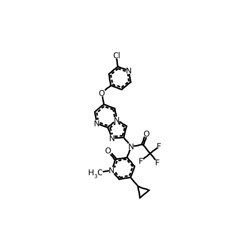 Cn1cc(C2CC2)cc(N(C(=O)C(F)(F)F)c2cn3cc(Oc4ccnc(Cl)c4)cnc3n2)c1=O